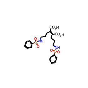 O=C(O)C(CCCNS(=O)(=O)c1ccccc1)=C(CCCNS(=O)(=O)c1ccccc1)C(=O)O